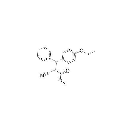 CCOc1ccc(C(=C(C#N)C(=O)OC)c2ccccc2)cc1